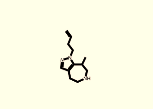 C=CCCn1ncc2c1C(C)CNCC2